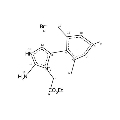 CCOC(=O)C[n+]1c(-c2c(C)cc(C)cc2C)c[nH]c1N.[Br-]